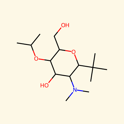 CC(C)OC1C(CO)OC(C(C)(C)C)C(N(C)C)C1O